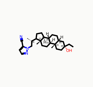 CC[C@@]1(O)CC[C@@]2(C)[C@H](CC[C@@H]3[C@@H]2CC[C@]2(C)C([C@@H](C)Cn4nccc4C#N)CC[C@@H]32)C1